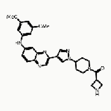 COc1cc(Nc2ccc3ncc(-c4cnn(C5CCN(C(=O)C6CNC6)CC5)c4)nc3c2)cc(OC)c1